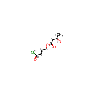 CC(=O)CC(=O)OCC=CC(=O)Cl